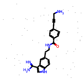 N=C(N)c1c[nH]c2ccc(CCNC(=O)c3ccc(C#CCN)cc3)cc12